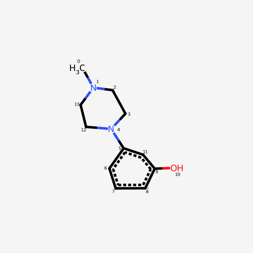 CN1CCN(c2cc[c]c(O)c2)CC1